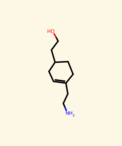 NCCC1=CCC(CCO)CC1